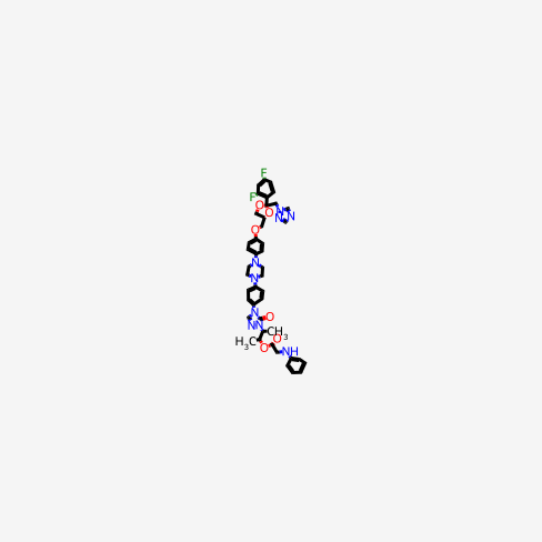 CC(OC(=O)CNc1ccccc1)C(C)n1ncn(-c2ccc(N3CCN(c4ccc(OCC5COC(Cn6cncn6)(c6ccc(F)cc6F)O5)cc4)CC3)cc2)c1=O